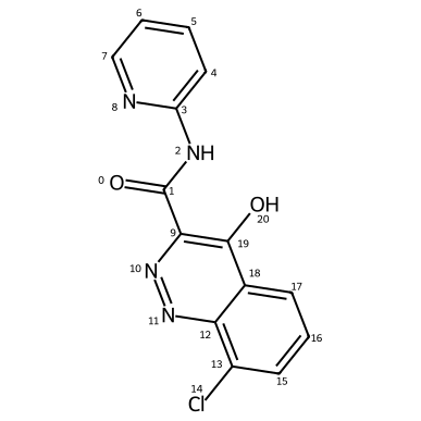 O=C(Nc1ccccn1)c1nnc2c(Cl)cccc2c1O